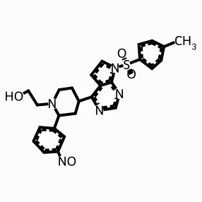 Cc1ccc(S(=O)(=O)n2ccc3c(C4CCN(CCO)C(c5cccc(N=O)c5)C4)ncnc32)cc1